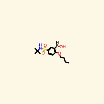 CCCCOc1ccc(S(=O)(=O)NC(C)(C)C)cc1BO